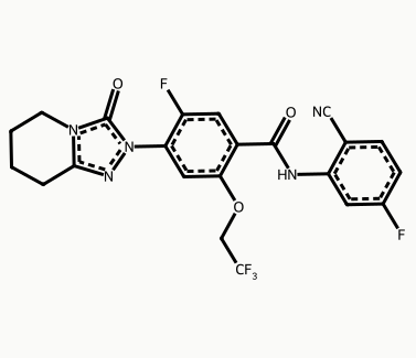 N#Cc1ccc(F)cc1NC(=O)c1cc(F)c(-n2nc3n(c2=O)CCCC3)cc1OCC(F)(F)F